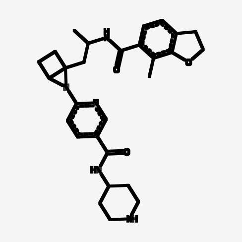 Cc1c(C(=O)NC(C)CC23CCC2N3c2ccc(C(=O)NC3CCNCC3)cn2)ccc2c1OCC2